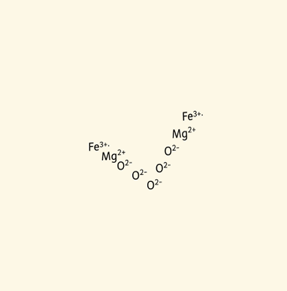 [Fe+3].[Fe+3].[Mg+2].[Mg+2].[O-2].[O-2].[O-2].[O-2].[O-2]